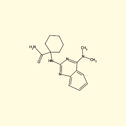 CN(C)c1nc(NC2(C(N)=O)CCCCC2)nc2ccccc12